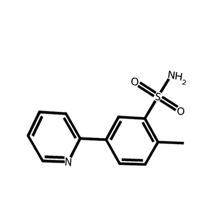 Cc1ccc(-c2ccccn2)cc1S(N)(=O)=O